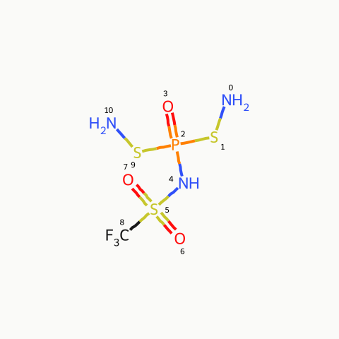 NSP(=O)(NS(=O)(=O)C(F)(F)F)SN